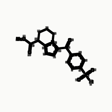 CCS(=O)(=O)c1ccc(C(=O)c2ccc3n2CCCC3C(=O)OC)cc1